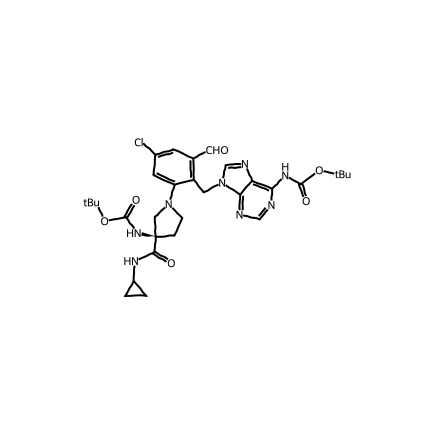 CC(C)(C)OC(=O)Nc1ncnc2c1ncn2Cc1c(C=O)cc(Cl)cc1N1CC[C@](NC(=O)OC(C)(C)C)(C(=O)NC2CC2)C1